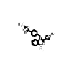 CC(=O)N1CC(C(=O)N(Cc2ccc(-c3nnc(C(F)(F)F)o3)cc2)C2C=CC=CC2C)C1